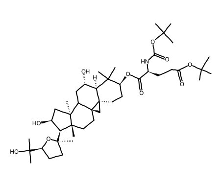 CC(C)(C)OC(=O)CC[C@H](NC(=O)OC(C)(C)C)C(=O)O[C@H]1CC[C@]23C[C@]24CC[C@]2(C)[C@@H]([C@@]5(C)CC[C@@H](C(C)(C)O)O5)[C@@H](O)C[C@@]2(C)C4C[C@H](O)[C@H]3C1(C)C